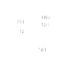 Br.NC(N)=NP